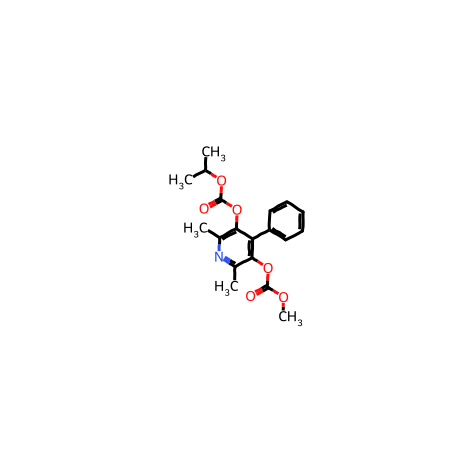 COC(=O)Oc1c(C)nc(C)c(OC(=O)OC(C)C)c1-c1ccccc1